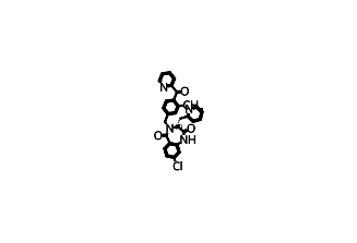 Cc1cc(CN2C(=O)c3ccc(Cl)cc3NC(=O)[C@H]2Cc2ccccn2)ccc1C(=O)c1ccccn1